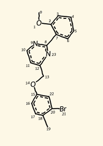 COc1ccccc1-c1nccc(COc2ccc(C)c(Br)c2)n1